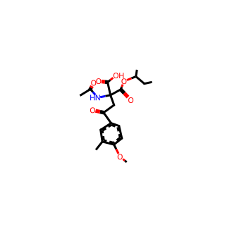 CCC(C)OC(=O)C(CC(=O)c1ccc(OC)c(C)c1)(NC(C)=O)C(=O)O